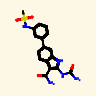 CS(=O)(=O)Nc1cccc(-c2ccc3c(C(N)=O)c(NC(N)=O)[nH]c3c2)c1